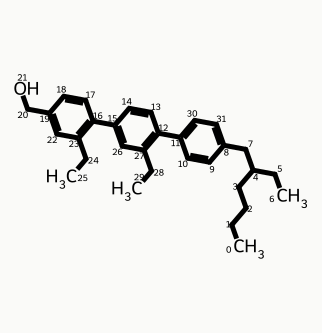 CCCCC(CC)Cc1ccc(-c2ccc(-c3ccc(CO)cc3CC)cc2CC)cc1